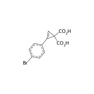 O=C(O)C1(C(=O)O)C=C1c1ccc(Br)cc1